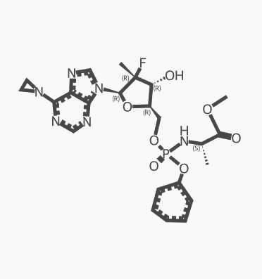 COC(=O)[C@H](C)NP(=O)(OC[C@H]1O[C@@H](n2cnc3c(N4CC4)ncnc32)[C@](C)(F)[C@@H]1O)Oc1ccccc1